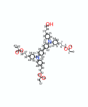 C=CC(=O)OCCCc1ccc(N(c2ccc(CCCO)cc2)c2ccc(-c3ccc(N(c4ccc(CCCOC(=O)C=C)cc4)c4ccc(CCCOC(=O)C=C)cc4)cc3)cc2)cc1